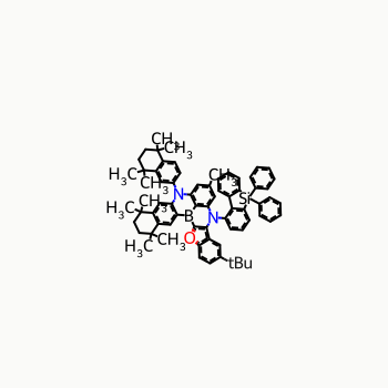 Cc1cc2c3c(c1)N(c1cccc4c1-c1ccccc1[Si]4(c1ccccc1)c1ccccc1)c1c(oc4ccc(C(C)(C)C)cc14)B3c1cc3c(cc1N2c1ccc2c(c1)C(C)(C)CCC2(C)C)C(C)(C)CCC3(C)C